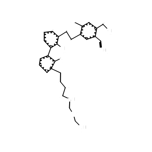 C=Cc1cc(CCc2cccc(-c3cccc(CCCCNCCCC)c3C)c2Cl)c(Cl)cc1CC